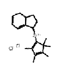 CC1=C(C)C(C)(C)[C]([Zr+2][CH]2CCC3CC=CC=C32)=C1C.[Cl-].[Cl-]